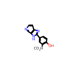 O=C(O)c1cc(-c2nc3ccncc3[nH]2)ccc1O